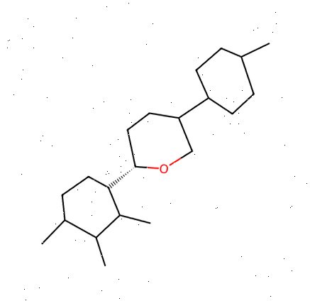 CC1CCC(C2CC[C@@H](C3CCC(C)C(C)C3C)OC2)CC1